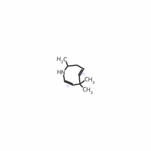 CC1C/C=C/C(C)(C)/C=C\N1